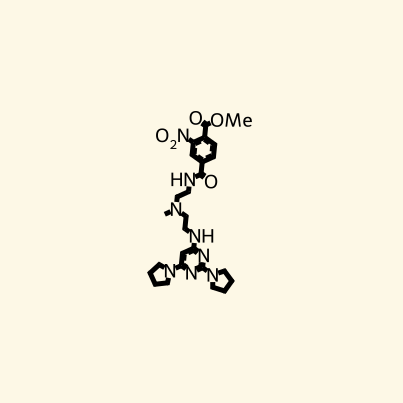 COC(=O)c1ccc(C(=O)NCCN(C)CCNc2cc(N3CCCC3)nc(N3CCCC3)n2)cc1[N+](=O)[O-]